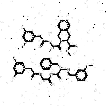 COC(=O)C1Cc2ccccc2CN1C(=O)[C@H](C)NC(=O)Cc1cc(F)cc(F)c1.COc1cccc(CN[C@@H](Cc2ccccc2)C(=O)NC(=O)[C@H](C)NC(=O)Cc2cc(F)cc(F)c2)c1